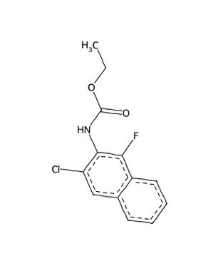 CCOC(=O)Nc1c(Cl)cc2ccccc2c1F